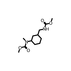 COC(=O)NCC1CCCC(N(C)C(=O)OC)C1